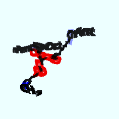 CCCCC/C=C\C/C=C\CCCCCCCC(=O)OCC(COC(=O)/C=C(\CCCCC)CCCCCCCC)COC(=O)OCCC1CCN(C)CC1